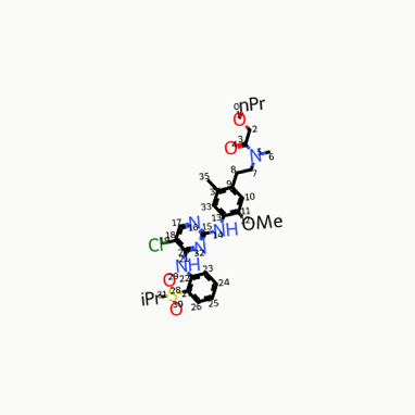 CCCOCC(=O)N(C)CCc1cc(OC)c(Nc2ncc(Cl)c(Nc3ccccc3S(=O)(=O)C(C)C)n2)cc1C